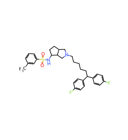 O=S(=O)(NC1CCC2CN(CCCCCC(c3ccc(F)cc3)c3ccc(F)cc3)CC21)c1cccc(C(F)(F)F)c1